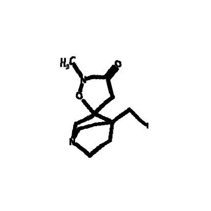 CN1OC2(CC1=O)CN1CCC2(CI)CC1